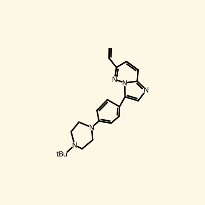 C=Cc1ccc2ncc(-c3ccc(N4CCN(C(C)(C)C)CC4)cc3)n2n1